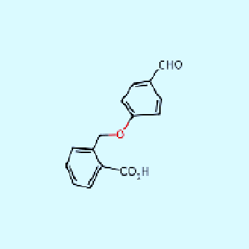 O=Cc1ccc(OCc2ccccc2C(=O)O)cc1